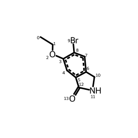 CCOc1cc2c(cc1Br)CNC2=O